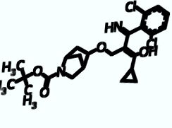 CC(C)(C)OC(=O)N1CC2CC1CC2OC/C(C(=N)c1c(Cl)cccc1Cl)=C(/O)C1CC1